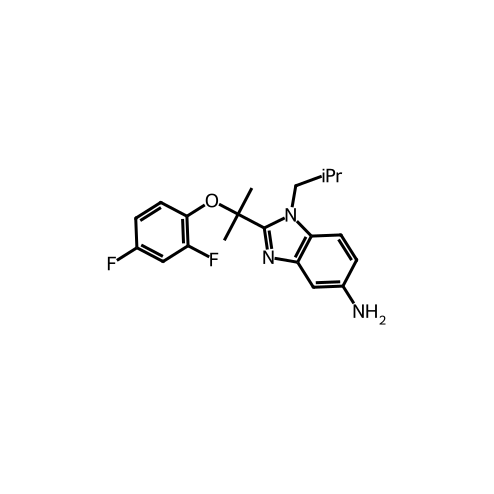 CC(C)Cn1c(C(C)(C)Oc2ccc(F)cc2F)nc2cc(N)ccc21